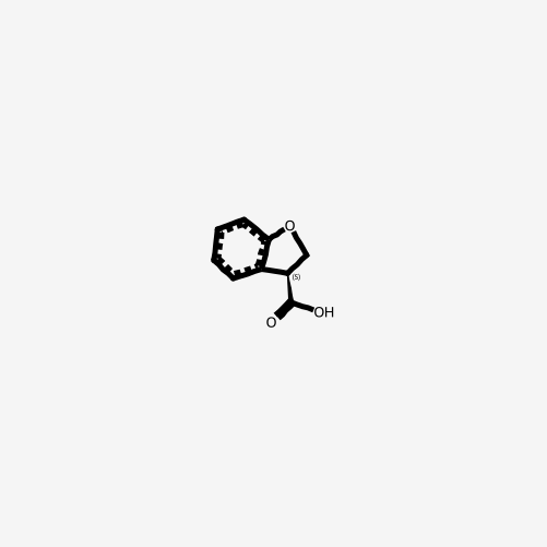 O=C(O)[C@@H]1COc2ccccc21